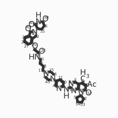 CC(=O)c1c(C)c2cnc(Nc3ccc(N4CCN(CCCCNC(=O)COc5cccc6c5CN(C5CCC(=O)NC5=O)C6=O)CC4)cn3)nc2n(C2CCCC2)c1=O